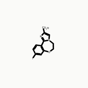 O=C(O)c1cn2c(n1)-c1ccc(I)cc1OCC2